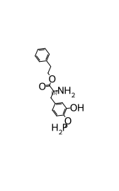 N[C@@H](Cc1ccc(OP)c(O)c1)C(=O)OCCc1ccccc1